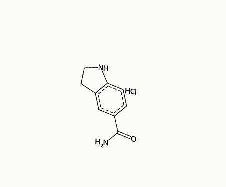 Cl.NC(=O)c1ccc2c(c1)CCN2